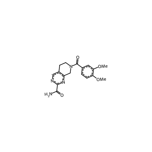 COc1ccc(C(=O)N2CCc3[c]nc(C(N)=O)nc3C2)cc1OC